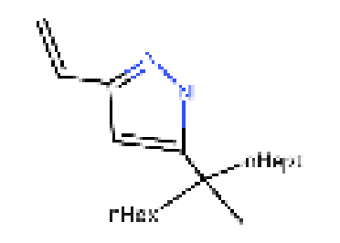 C=Cc1cc(C(C)(CCCCCC)CCCCCCC)[nH]n1